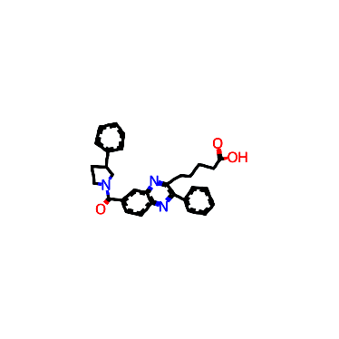 O=C(O)CCCCc1nc2cc(C(=O)N3CCC(c4ccccc4)C3)ccc2nc1-c1ccccc1